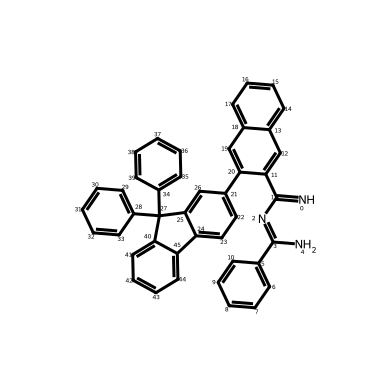 N=C(/N=C(\N)c1ccccc1)c1cc2ccccc2cc1-c1ccc2c(c1)C(c1ccccc1)(c1ccccc1)c1ccccc1-2